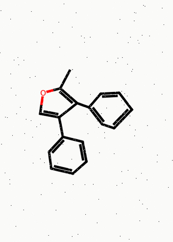 [CH2]c1occ(-c2ccccc2)c1-c1ccccc1